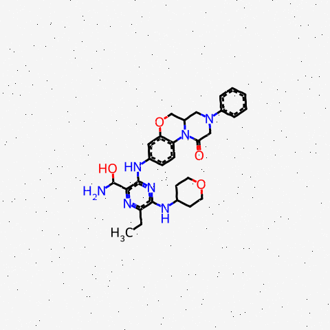 CCc1nc(C(N)O)c(Nc2ccc3c(c2)OCC2CN(c4ccccc4)CC(=O)N32)nc1NC1CCOCC1